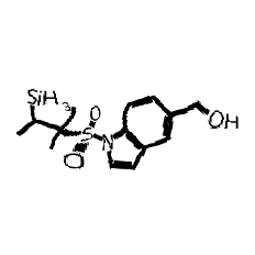 CC([SiH3])C(C)(C)S(=O)(=O)n1ccc2cc(CO)ccc21